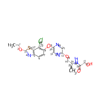 CCOc1nc2ccc(Oc3cnc(OC[C@H](C)NC(=O)CO)cn3)c(Cl)c2s1